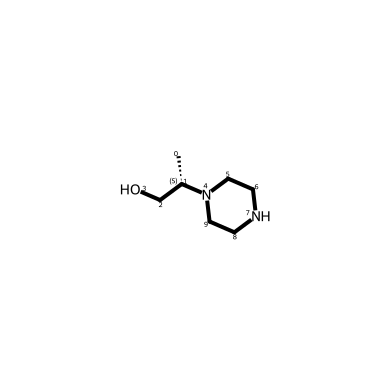 C[C@@H](CO)N1CCNCC1